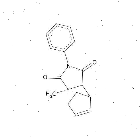 CC12C(=O)N(c3ccccc3)C(=O)C1C1C=CC2C1